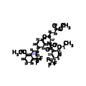 CCOc1ncc(C(F)(F)F)cc1S(=O)(=O)N1C[C@H](CCC(=O)OC)Oc2ccc(/C=C/c3c(OC)cccc3C(F)(F)F)cc21